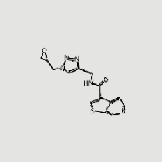 O=C(NCc1cn(CC2CO2)nn1)c1csc2ccccc12